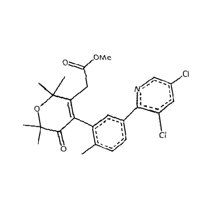 COC(=O)CC1=C(c2cc(-c3ncc(Cl)cc3Cl)ccc2C)C(=O)C(C)(C)OC1(C)C